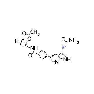 CC(=O)O[C@@H](C)CNC(=O)c1ccc(-c2cnc3[nH]cc(/C=C/C(N)=O)c3c2)cc1